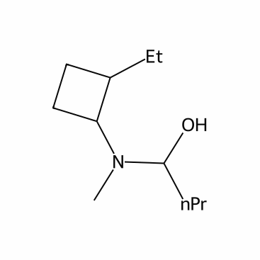 CCCC(O)N(C)C1CCC1CC